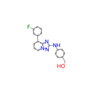 OCc1ccc(Nc2nc3c(-c4cccc(F)c4)cccn3n2)cc1